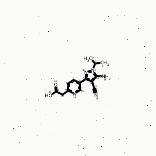 CC(C)n1nc(-c2ccc(CC(=O)O)nc2)c(C#N)c1N